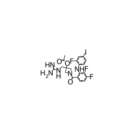 CC(=O)OC1(CNC(=N)N)CN(C(=O)c2ccc(F)c(F)c2Nc2ccc(I)cc2F)C1